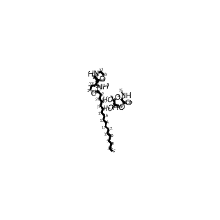 CC(O)C(=O)O.CCCCCCCCCCCCCCCCCC(=O)NC(CC)C1CNCCO1.CNCC(=O)O